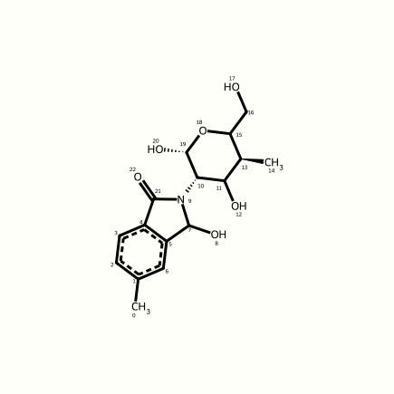 Cc1ccc2c(c1)C(O)N([C@H]1C(O)[C@H](C)C(CO)O[C@H]1O)C2=O